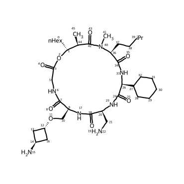 CCCCCC[C@H]1OC(=O)CNC(=O)[C@H](CO[C@H]2C[C@H](N)C2)NC(=O)[C@H](CN)NC(=O)[C@H](C2CCCCC2)NC(=O)[C@H](CCC(C)C)N(C)C(=O)[C@@H]1C